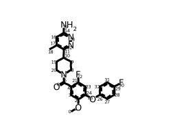 COc1cc(C(=O)N2CCC(c3nnc(N)cc3C)CC2)c(F)cc1Oc1ccc(F)cc1